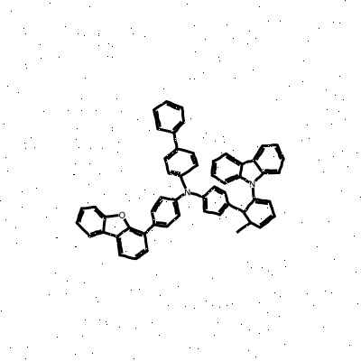 CC1C=CC=C(n2c3ccccc3c3ccccc32)C1c1ccc(N(c2ccc(-c3ccccc3)cc2)c2ccc(-c3cccc4c3oc3ccccc34)cc2)cc1